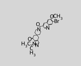 COc1cc2cc(C(=O)N3CCC4(CC3)CC(=O)c3c(cnn3C(C)C)C4)cnc2cc1Br